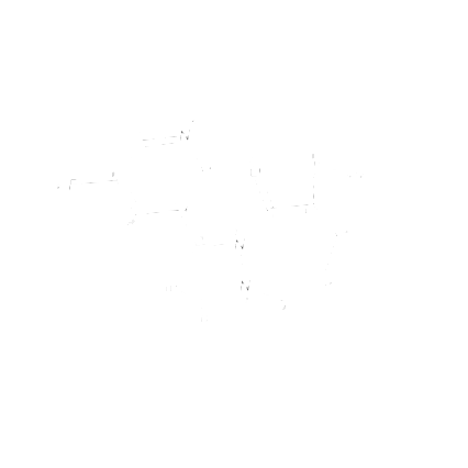 O=C1N2C(c3cncc(F)c3)C=CN2CCCC12CC2